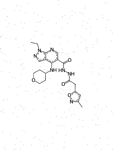 CCn1ncc2c(NC3CCOCC3)c(C(=O)NNC(=O)Cc3cc(C)no3)cnc21